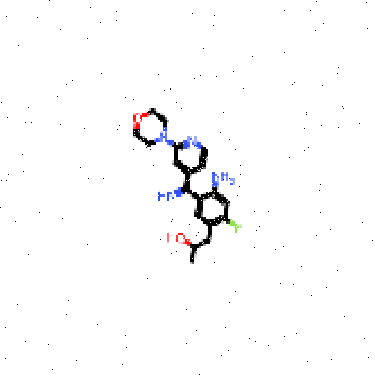 CC(O)Cc1cc(C(=N)c2ccnc(N3CCOCC3)c2)c(N)cc1F